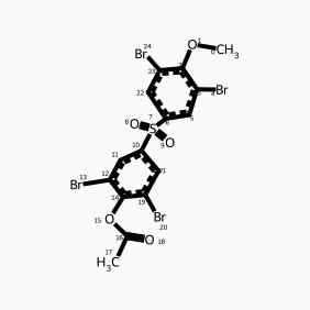 COc1c(Br)cc(S(=O)(=O)c2cc(Br)c(OC(C)=O)c(Br)c2)cc1Br